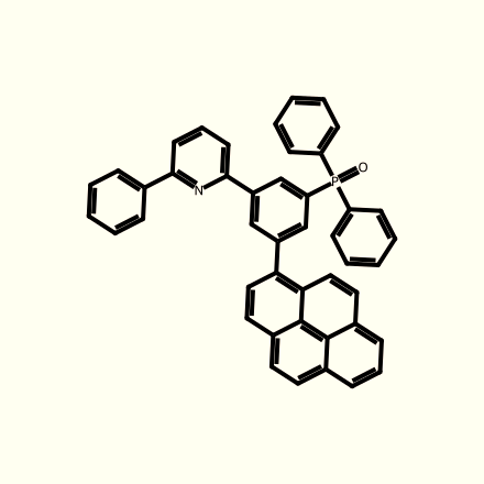 O=P(c1ccccc1)(c1ccccc1)c1cc(-c2cccc(-c3ccccc3)n2)cc(-c2ccc3ccc4cccc5ccc2c3c45)c1